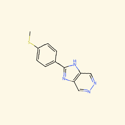 CSc1ccc(-c2nc3cnncc3[nH]2)cc1